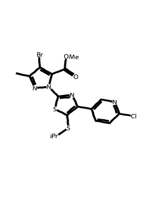 COC(=O)c1c(Br)c(C)nn1-c1nc(-c2ccc(Cl)nc2)c(SC(C)C)s1